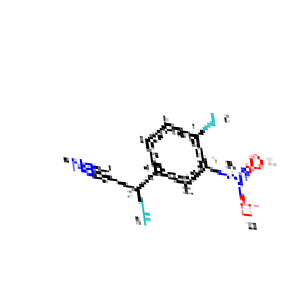 N#CC(F)c1ccc(F)c([N+](=O)[O-])c1